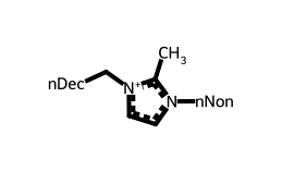 CCCCCCCCCCC[n+]1ccn(CCCCCCCCC)c1C